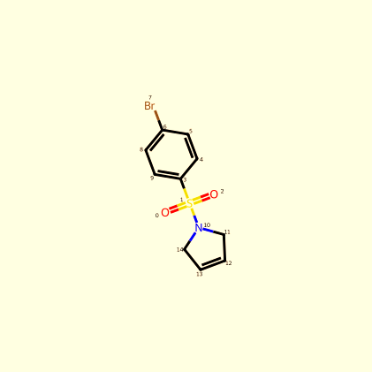 O=S(=O)(c1ccc(Br)cc1)N1CC=CC1